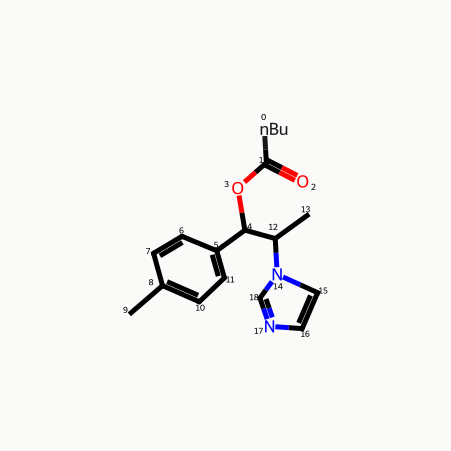 CCCCC(=O)OC(c1ccc(C)cc1)C(C)n1ccnc1